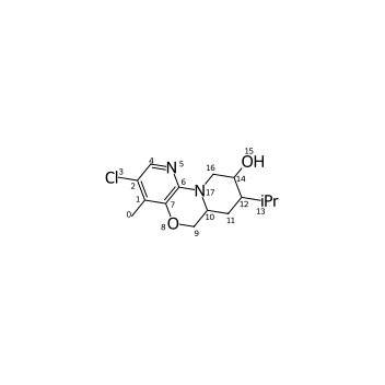 Cc1c(Cl)cnc2c1OCC1CC(C(C)C)C(O)CN21